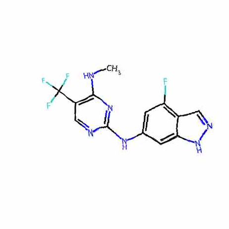 CNc1nc(Nc2cc(F)c3cn[nH]c3c2)ncc1C(F)(F)F